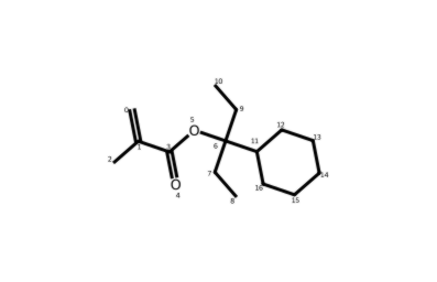 C=C(C)C(=O)OC(CC)(CC)C1CCCCC1